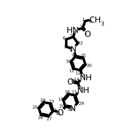 CCC(=O)NC1CCN(c2ccc(NC(=O)Nc3ccc(Oc4ccccc4)nc3)cc2)C1